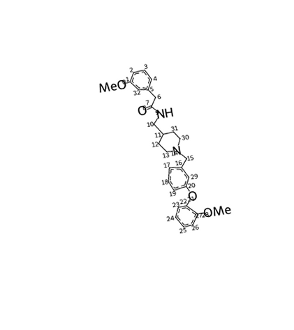 COc1cccc(CC(=O)NCC2CCN(Cc3cccc(Oc4ccccc4OC)c3)CC2)c1